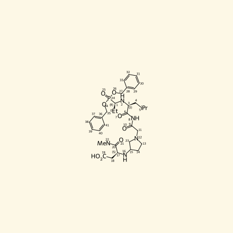 CC[C@H](N[C@@H](CC(C)C)C(=O)NC(=O)CN1CCC(N[C@@H](CC(=O)O)C(=O)NC)C1)P(=O)(OCc1ccccc1)OCc1ccccc1